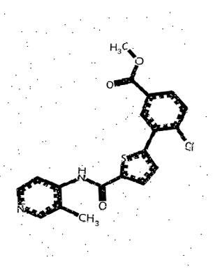 COC(=O)c1ccc(Cl)c(-c2ccc(C(=O)Nc3ccncc3C)s2)c1